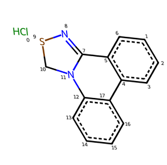 Cl.c1ccc2c(c1)C1=NSCN1c1ccccc1-2